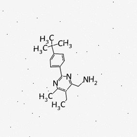 CCc1c(C)nc(-c2ccc(C(C)(C)C)cc2)nc1CN